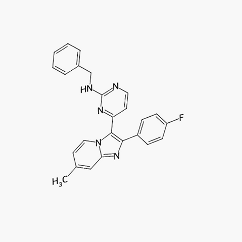 Cc1ccn2c(-c3ccnc(NCc4ccccc4)n3)c(-c3ccc(F)cc3)nc2c1